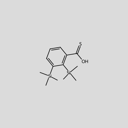 C[Si](C)(C)c1cccc(C(O)=S)c1[Si](C)(C)C